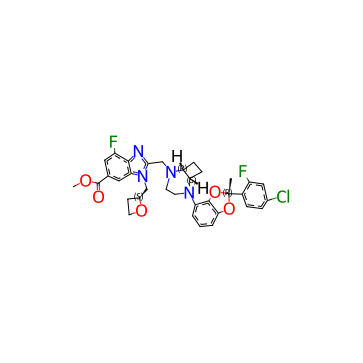 COC(=O)c1cc(F)c2nc(CN3CCN(c4cccc5c4O[C@](C)(c4ccc(Cl)cc4F)O5)[C@H]4CC[C@H]43)n(C[C@@H]3CCO3)c2c1